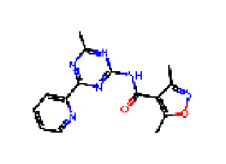 Cc1nc(NC(=O)c2c(C)noc2C)nc(-c2ccccn2)n1